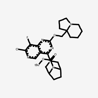 CC(C)(C)OC(=O)N1C2CCC1CN(c1nc(OCC34CCCCN3CCC4)nc3c(F)c(Cl)ncc13)C2